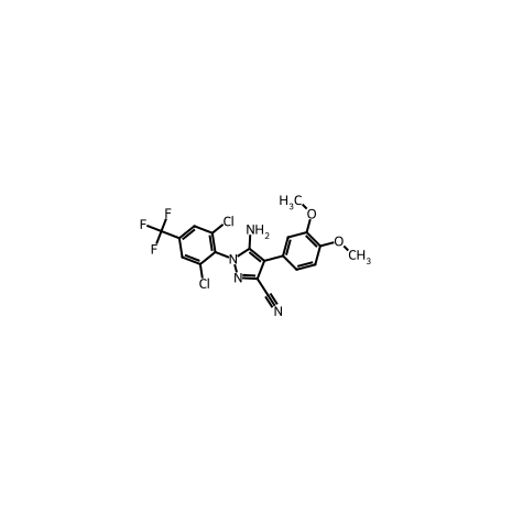 COc1ccc(-c2c(C#N)nn(-c3c(Cl)cc(C(F)(F)F)cc3Cl)c2N)cc1OC